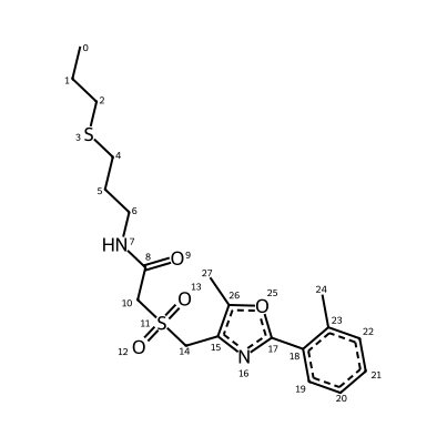 CCCSCCCNC(=O)CS(=O)(=O)Cc1nc(-c2ccccc2C)oc1C